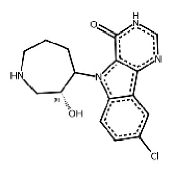 O=c1[nH]cnc2c3cc(Cl)ccc3n(C3CCCNC[C@H]3O)c12